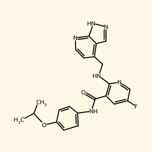 CC(C)Oc1ccc(NC(=O)c2cc(F)cnc2NCc2ccnc3[nH]ncc23)cc1